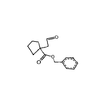 O=CCC1(C(=O)OCc2ccccc2)CCCC1